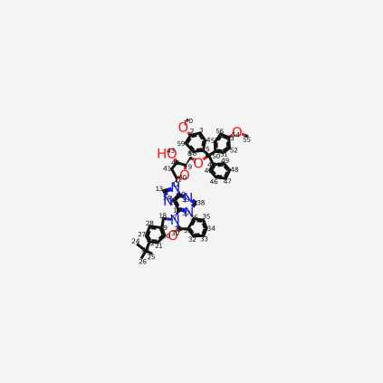 COc1ccc(C(OC[C@H]2O[C@@H](n3cnc4c(N(Cc5ccc(C(C)(C)C)cc5)C(=O)c5ccccc5)ncnc43)CC2O)(c2ccccc2)c2ccc(OC)cc2)cc1